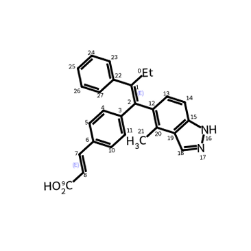 CC/C(=C(/c1ccc(/C=C/C(=O)O)cc1)c1ccc2[nH]ncc2c1C)c1ccccc1